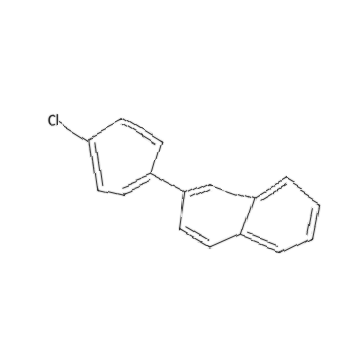 Clc1ccc(-c2ccc3ccccc3c2)cc1